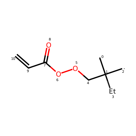 [CH2]C([CH2])(CC)COOC(=O)C=C